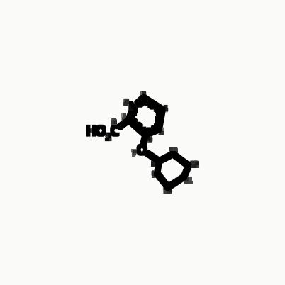 O=C(O)c1ncccc1OC1CCCCC1